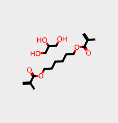 C=C(C)C(=O)OCCCCCCOC(=O)C(=C)C.OCC(O)CO